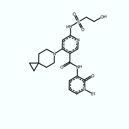 CCn1cccc(NC(=O)c2cnc(NS(=O)(=O)CCO)cc2N2CCC3(CC2)CC3)c1=O